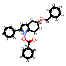 O=C(On1c(-c2ccccc2)cc2c1CCC(OCc1ccccc1)C2)c1ccccc1